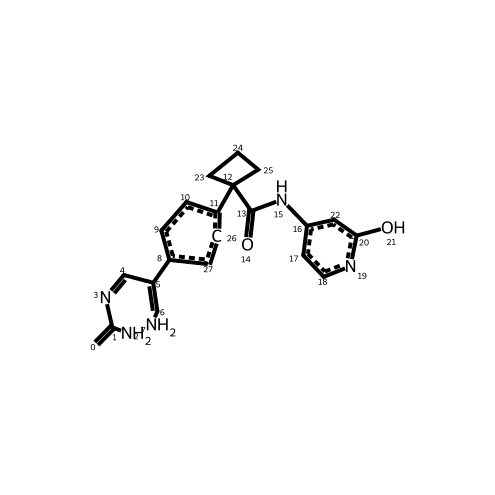 C=C(N)/N=C\C(=C/N)c1ccc(C2(C(=O)Nc3ccnc(O)c3)CCC2)cc1